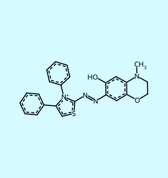 CN1CCOc2cc(/N=N/c3scc(-c4ccccc4)[n+]3-c3ccccc3)c(O)cc21